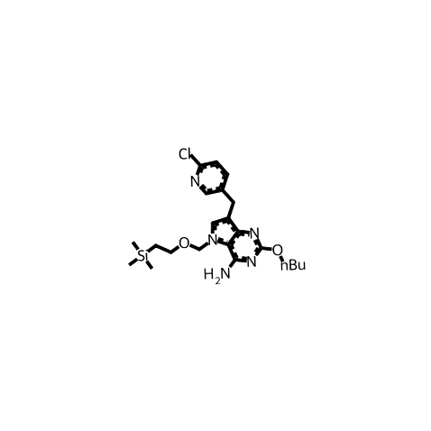 CCCCOc1nc(N)c2c(n1)c(Cc1ccc(Cl)nc1)cn2COCC[Si](C)(C)C